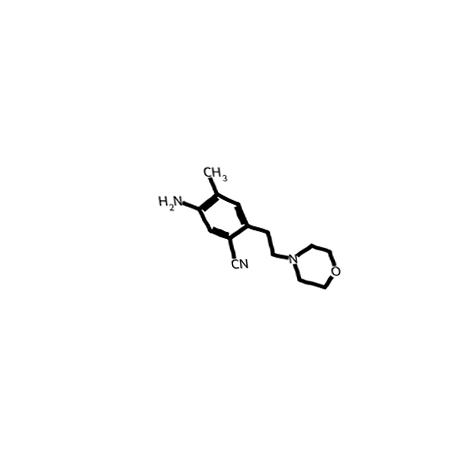 Cc1cc(CCN2CCOCC2)c(C#N)cc1N